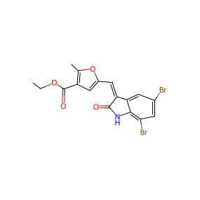 CCOC(=O)c1cc(C=C2C(=O)Nc3c(Br)cc(Br)cc32)oc1C